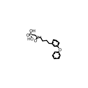 O=[PH](CCCCc1cccc(Oc2ccccc2)c1)CP(=O)(O)O